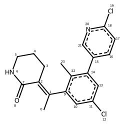 C/C(=C1/CCCNC1=O)c1cc(Cl)cc(-c2ccc(Cl)nc2)c1C